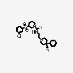 N#CC1(c2ccccc2)CCN(CCNC(=O)N2CCCC(S(=O)(=O)c3cccc(Cl)c3)C2)CC1